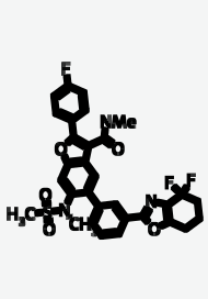 CNC(=O)c1c(-c2ccc(F)cc2)oc2cc(N(C)S(C)(=O)=O)c(-c3cccc(-c4nc5c(o4)CCCC5(F)F)c3)cc12